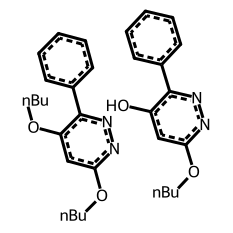 CCCCOc1cc(O)c(-c2ccccc2)nn1.CCCCOc1cc(OCCCC)c(-c2ccccc2)nn1